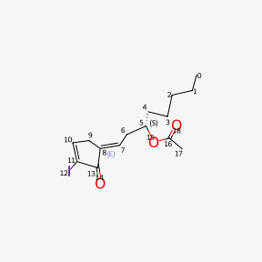 CCCCC[C@@H](C/C=C1\CC=C(I)C1=O)OC(C)=O